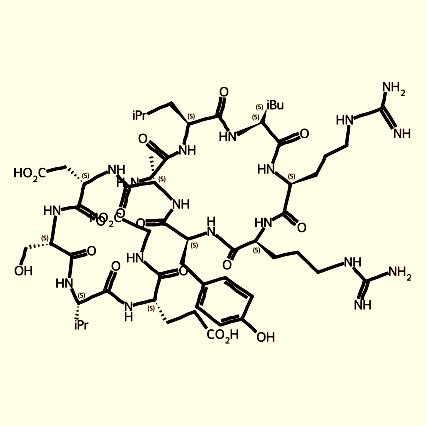 CC[C@H](C)[C@H](NC(=O)[C@H](CC(C)C)NC(=O)CN)C(=O)N[C@@H](CCCNC(=N)N)C(=O)N[C@@H](CCCNC(=N)N)C(=O)N[C@@H](Cc1ccc(O)cc1)C(=O)N[C@@H](C)C(=O)N[C@@H](CC(=O)O)C(=O)N[C@@H](CO)C(=O)N[C@H](C(=O)N[C@@H](CCC(=O)O)C(=O)NCC(=O)O)C(C)C